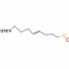 CCCCCCCCCC=CCCC[S+]=O